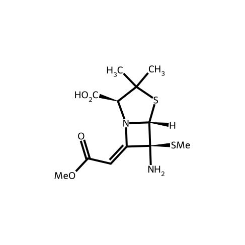 COC(=O)/C=C1\N2[C@@H](C(=O)O)C(C)(C)S[C@@H]2[C@@]1(N)SC